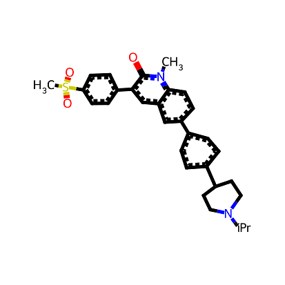 CC(C)N1CCC(c2ccc(-c3ccc4c(c3)cc(-c3ccc(S(C)(=O)=O)cc3)c(=O)n4C)cc2)CC1